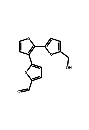 O=Cc1ccc(-c2ccsc2-c2ccc(CO)s2)s1